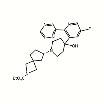 CCOC(=O)N1CC2(CC[C@H](N3CCC(O)(c4cc(F)cnc4-c4cnccn4)CC3)C2)C1